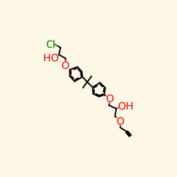 C#CCOC[C@H](O)COc1ccc(C(C)(C)c2ccc(OC[C@H](O)CCl)cc2)cc1